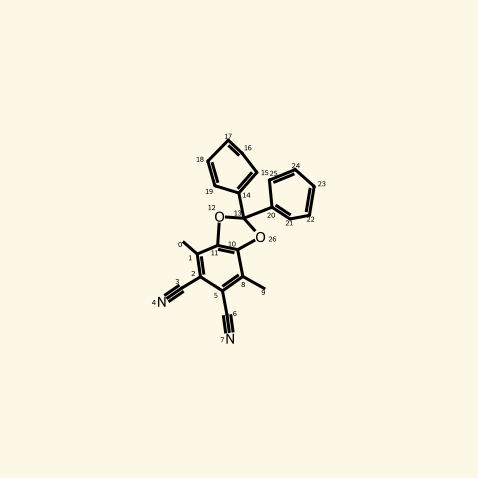 Cc1c(C#N)c(C#N)c(C)c2c1OC(c1ccccc1)(c1ccccc1)O2